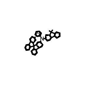 CC1(C)c2ccccc2-c2ccc(N(c3ccccc3)c3ccc4c(c3)C3(c5ccccc5-c5ccc(Cl)cc53)c3ccccc3-4)cc21